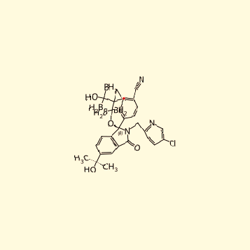 BC(B)(O)C1(C(B)(B)O[C@]2(c3ccc(C#N)cc3)c3ccc(C(C)(C)O)cc3C(=O)N2Cc2ccc(Cl)cn2)CC1